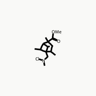 COC(=O)C1(C)CC(C)C2(CN(C)Cl)C(C)C1C2C